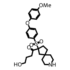 COc1ccc(Oc2ccc(S(=O)(=O)C3(C(=O)CCCO)CCC4(CCNCC4)C3)cc2)cc1